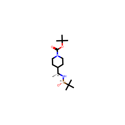 C[C@@H](N[S@@+]([O-])C(C)(C)C)C1CCN(C(=O)OC(C)(C)C)CC1